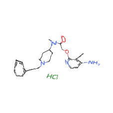 Cc1c(N)ccnc1OCC(=O)N(C)C1CCN(Cc2ccccc2)CC1.Cl